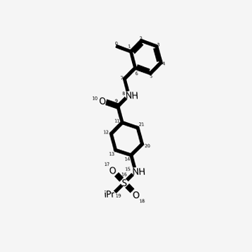 Cc1ccccc1CNC(=O)C1CCC(NS(=O)(=O)C(C)C)CC1